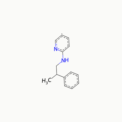 CC(CNc1cc[c]cn1)c1ccccc1